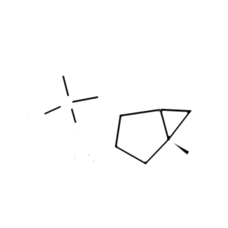 CC(C)(C)[Si](C)(C)O[C@@H]1[C@H]2C[C@@H]2C[C@@H]1N